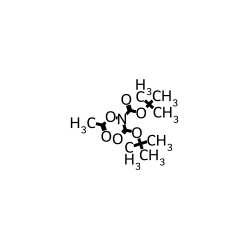 CC(=O)ON(C(=O)OC(C)(C)C)C(=O)OC(C)(C)C